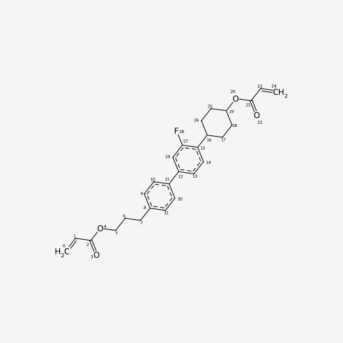 C=CC(=O)OCCCc1ccc(-c2ccc(C3CCC(OC(=O)C=C)CC3)c(F)c2)cc1